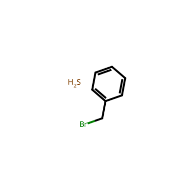 BrCc1ccccc1.S